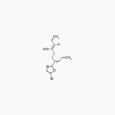 C=C/C=C(\CC/C(O)=C(\F)C=C)c1ncc(Br)o1